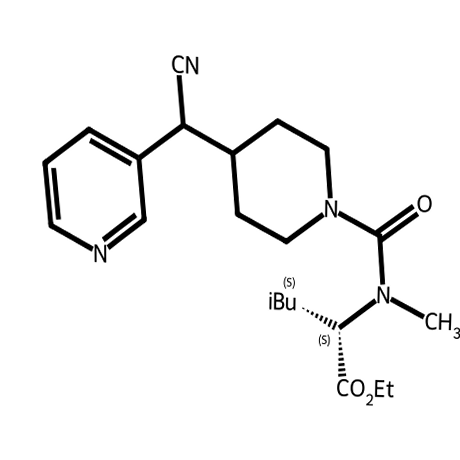 CCOC(=O)[C@H]([C@@H](C)CC)N(C)C(=O)N1CCC(C(C#N)c2cccnc2)CC1